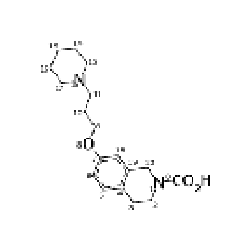 O=C(O)N1CCc2ccc(OCCCN3CCCCC3)cc2C1